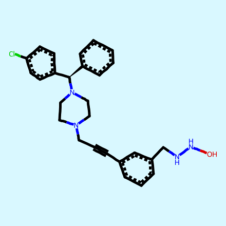 ONNCc1cccc(C#CCN2CCN([C@H](c3ccccc3)c3ccc(Cl)cc3)CC2)c1